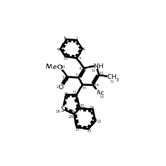 COC(=O)C1=C(c2ccccc2)NC(C)=C(C(C)=O)C1c1csc2ccccc12